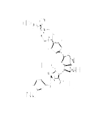 Cc1nn(Cc2cccc(C#N)c2)c(C)c1-c1c[nH]c2ncc(-c3ccc(N4CCN(C(=O)OC(C)(C)C)CC4)cc3)cc12